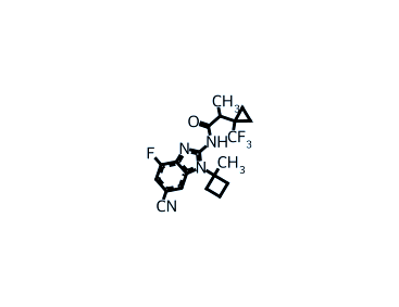 CC(C(=O)Nc1nc2c(F)cc(C#N)cc2n1C1(C)CCC1)C1(C(F)(F)F)CC1